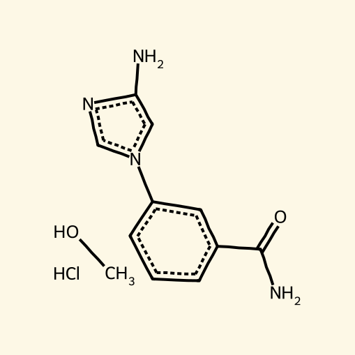 CO.Cl.NC(=O)c1cccc(-n2cnc(N)c2)c1